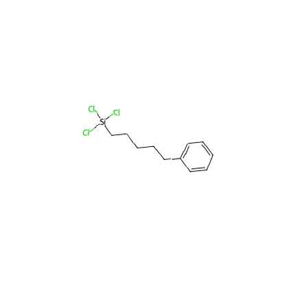 Cl[Si](Cl)(Cl)CCCCCc1ccccc1